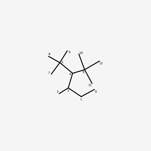 CCC(C)[C](C(C)(C)C)C(C)(C)C